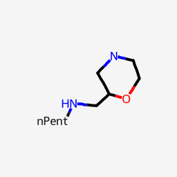 CCCCCNCC1C[N]CCO1